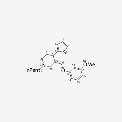 CCCCCN1CCC(c2cccs2)C(COc2cccc(OC)c2)C1